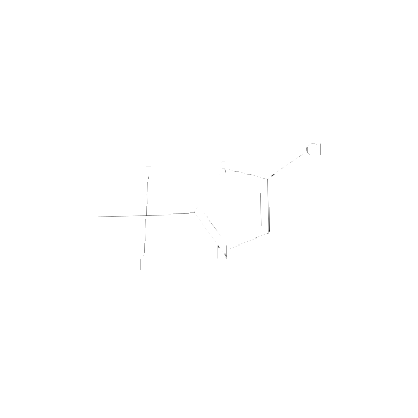 [CH2]C(F)(F)c1ncc(Cl)s1